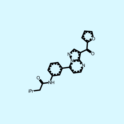 CC(C)CC(=O)Nc1cccc(-c2ccnc3c(C(=O)c4ccco4)cnn23)c1